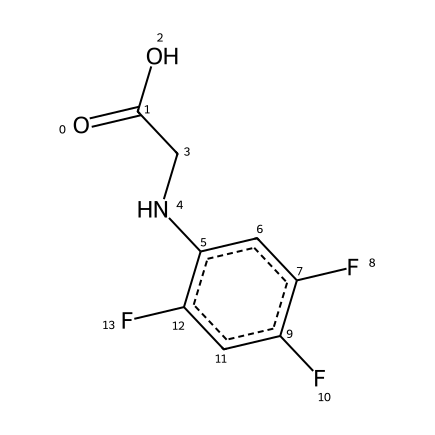 O=C(O)CNc1cc(F)c(F)cc1F